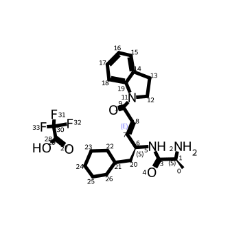 C[C@H](N)C(=O)N[C@H](/C=C/C(=O)N1CCc2ccccc21)CC1CCCCC1.O=C(O)C(F)(F)F